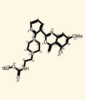 C=C1OC(c2cccnc2N2CCN(CCNC(=O)OC(C)(C)C)CC2)=Nc2cc(OC)cc(CC)c21